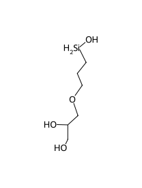 OCC(O)COCCC[SiH2]O